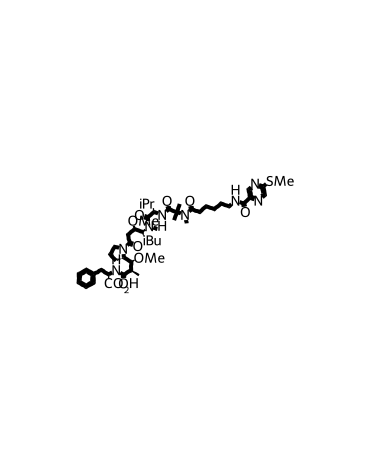 CC[C@H](C)[C@@H]([C@@H](CC(=O)N1CCC[C@H]1[C@H](OC)[C@@H](C)C(=O)N[C@@H](Cc1ccccc1)C(=O)O)OC)N(C)C(=O)[C@@H](NC(=O)C(C)(C)N(C)C(=O)CCCCCNC(=O)c1cnc(SC)cn1)C(C)C